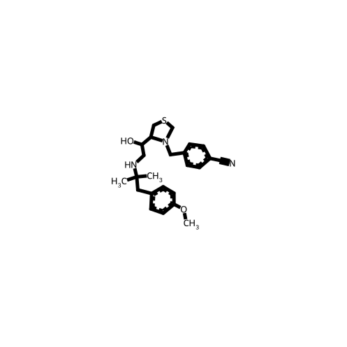 COc1ccc(CC(C)(C)NCC(O)C2CSCN2Cc2ccc(C#N)cc2)cc1